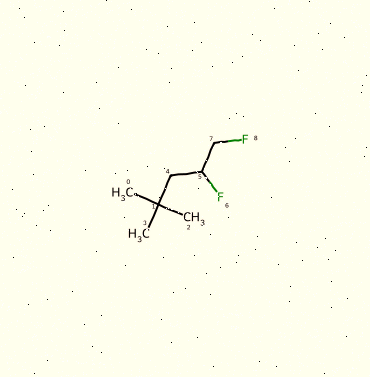 CC(C)(C)CC(F)CF